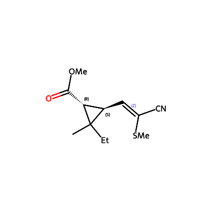 CCC1(C)[C@H](/C=C(/C#N)SC)[C@H]1C(=O)OC